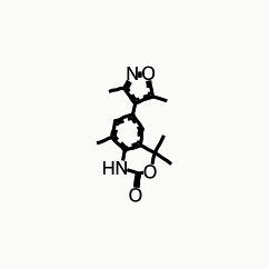 Cc1cc(-c2c(C)noc2C)cc2c1NC(=O)OC2(C)C